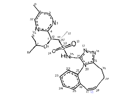 Cc1cnc([C@H](OC(C)C)[C@H](C)S(=O)(=O)Nc2nnc3n2-c2ccccc2/C=C\CC3)nc1